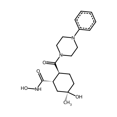 C[C@@]1(O)CC[C@H](C(=O)N2CCN(c3ccccc3)CC2)[C@@H](C(=O)NO)C1